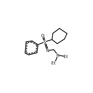 CCN(CC)CN=S(=O)(c1ccccc1)C1CCCCC1